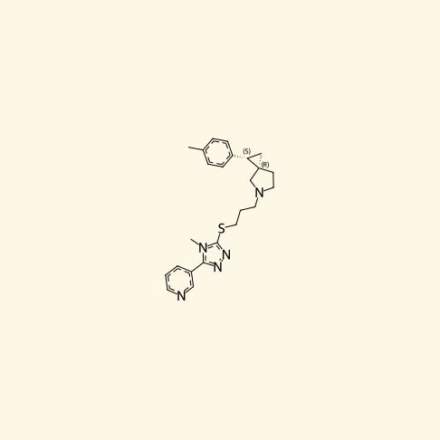 Cc1ccc([C@@H]2C[C@@]23CCN(CCCSc2nnc(-c4cccnc4)n2C)C3)cc1